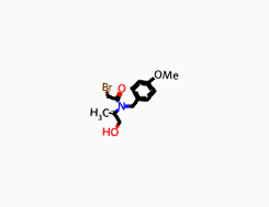 COc1ccc(CN(C(=O)CBr)[C@@H](C)CO)cc1